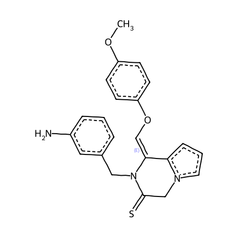 COc1ccc(O/C=C2\c3cccn3CC(=S)N2Cc2cccc(N)c2)cc1